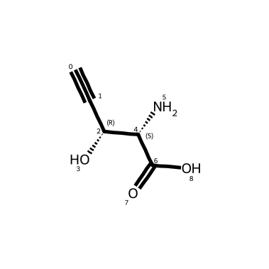 C#C[C@@H](O)[C@H](N)C(=O)O